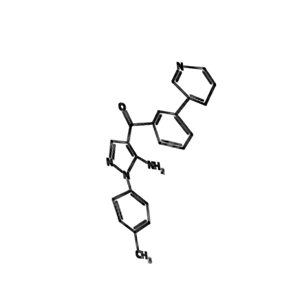 Cc1ccc(-n2ncc(C(=O)c3cccc(-c4cccnc4)c3)c2N)cc1